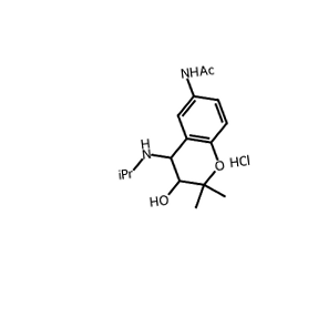 CC(=O)Nc1ccc2c(c1)C(NC(C)C)C(O)C(C)(C)O2.Cl